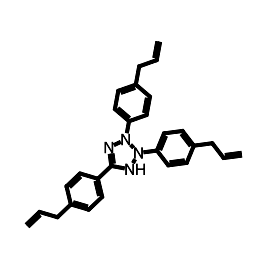 C=CCc1ccc(C2=NN(c3ccc(CC=C)cc3)N(c3ccc(CC=C)cc3)N2)cc1